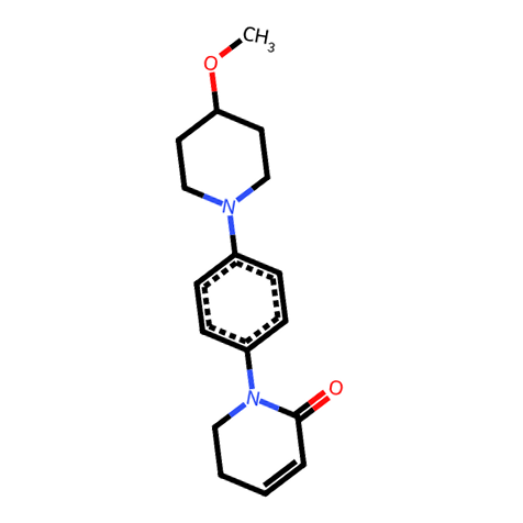 COC1CCN(c2ccc(N3CCC=CC3=O)cc2)CC1